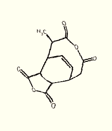 CC1C(=O)OC(=O)CC2C=CC1C1C(=O)OC(=O)C21